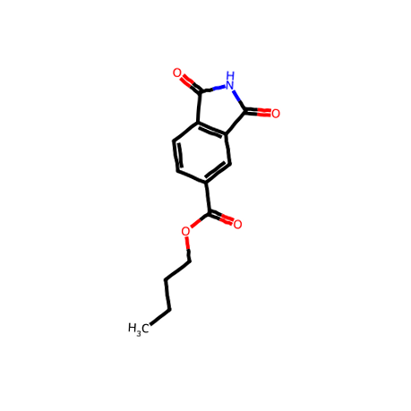 CCCCOC(=O)c1ccc2c(c1)C(=O)NC2=O